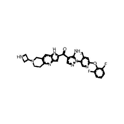 Cc1cc(Oc2c(F)cccc2F)ncc1-n1ncc(C(=O)c2cc3nc4c(cc3[nH]2)CN(C2CNC2)CC4)c1N